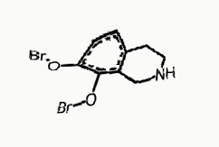 BrOc1ccc2c(c1OBr)CNCC2